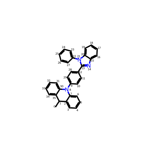 CC1c2ccccc2N(c2ccc(-c3nc4ccccc4n3-c3ccccc3)cc2)c2ccccc21